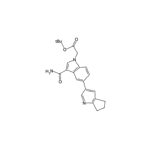 CC(C)(C)OC(=O)Cn1cc(C(N)=O)c2cc(-c3cnc4c(c3)CCC4)ccc21